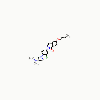 CCCCOc1ccc2c(=O)n(-c3ccc(N4CCC(N(C)C)C4)c(F)c3)ccc2c1